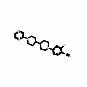 [C-]#[N+]c1ccc(N2CCC(C3CCN(c4cnccn4)CC3)CC2)cc1Cl